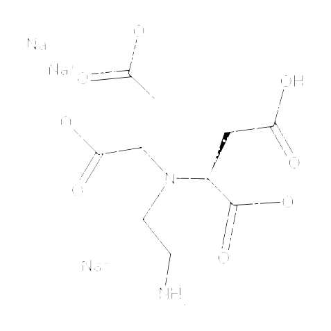 NCCN([C@@H](CC(=O)[O-])C(=O)[O-])[C@@H](CC(=O)O)C(=O)[O-].[Na+].[Na+].[Na+]